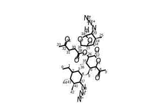 CCC1C[C@H](C[C@@H]2C(C(C)=O)O[C@@H](O[C@@H]3C4CO[C@H](O4)C(N=[N+]=[N-])[C@H]3C)C(OC(=O)CCC(C)=O)[C@H]2C)C(N=[N+]=[N-])[C@@H](C)[C@@H]1C